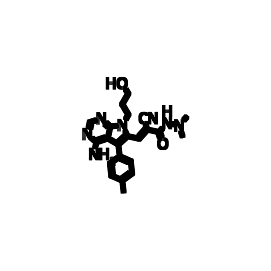 Cc1ccc(-c2c(C=C(C#N)C(=O)NN(C)C)n(CCCO)c3ncnc(N)c23)cc1